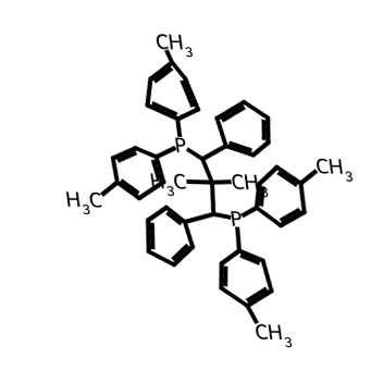 Cc1ccc(P(c2ccc(C)cc2)C(c2ccccc2)C(C)(C)C(c2ccccc2)P(c2ccc(C)cc2)c2ccc(C)cc2)cc1